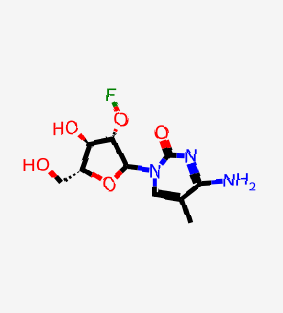 Cc1cn(C2O[C@H](CO)[C@@H](O)[C@@H]2OF)c(=O)nc1N